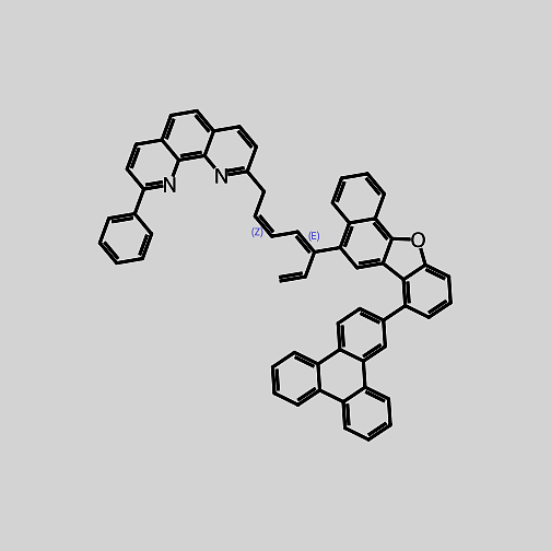 C=C/C(=C\C=C/Cc1ccc2ccc3ccc(-c4ccccc4)nc3c2n1)c1cc2c(oc3cccc(-c4ccc5c6ccccc6c6ccccc6c5c4)c32)c2ccccc12